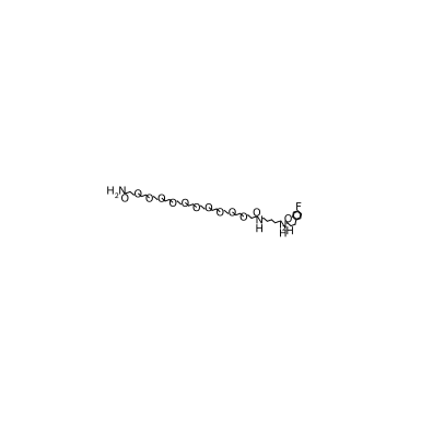 [2H]C(Cc1ccc(F)cc1)C(=O)NCCCCCNC(=O)CCOCCOCCOCCOCCOCCOCCOCCOCCOCCOCCC(N)=O